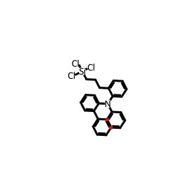 Cl[Si](Cl)(Cl)CCCc1ccccc1N(c1ccccc1)c1ccccc1-c1ccccc1